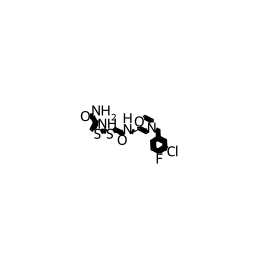 NC(=O)C1=CSC(SCC(=O)NC[C@H]2CN(Cc3ccc(F)c(Cl)c3)CCO2)N1